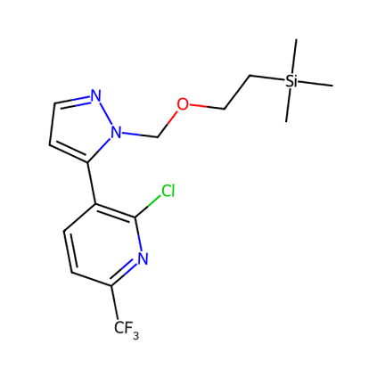 C[Si](C)(C)CCOCn1nccc1-c1ccc(C(F)(F)F)nc1Cl